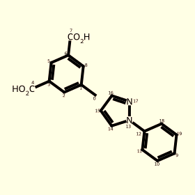 Cc1cc(C(=O)O)cc(C(=O)O)c1.c1ccc(-n2cccn2)cc1